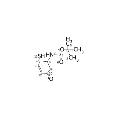 CC(C)(C)OC(=O)NC1CC(=O)C=CC1S